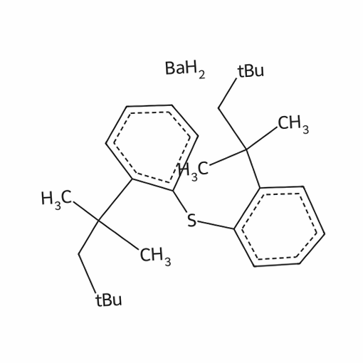 CC(C)(C)CC(C)(C)c1ccccc1Sc1ccccc1C(C)(C)CC(C)(C)C.[BaH2]